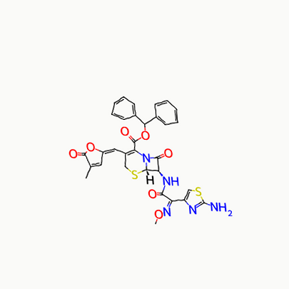 CO/N=C(\C(=O)N[C@@H]1C(=O)N2C(C(=O)OC(c3ccccc3)c3ccccc3)=C(/C=C3\C=C(C)C(=O)O3)CS[C@@H]12)c1csc(N)n1